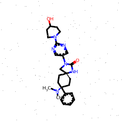 CN(C)[C@]1(c2ccccc2)CC[C@@]2(CC1)CN(c1cnc(N3CCC(O)CC3)nc1)C(=O)N2